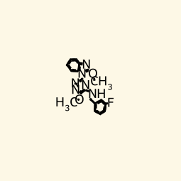 COc1nnc(-n2c(OC)nc3ccccc32)nc1NCc1cccc(F)c1